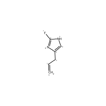 C=CCc1c[nH]c(F)n1